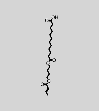 CC=CC(=O)OCCCCOC(=O)CCCCCCCCCCC(=O)O